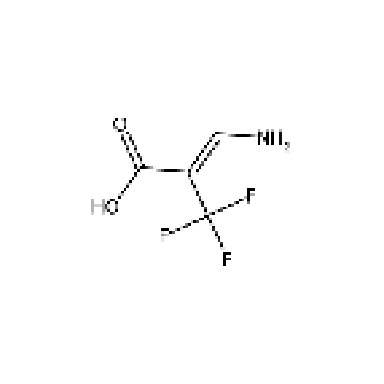 NC=C(C(=O)O)C(F)(F)F